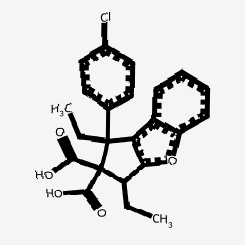 CCC1c2oc3ccccc3c2C(CC)(c2ccc(Cl)cc2)C1(C(=O)O)C(=O)O